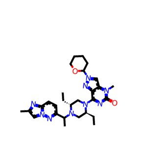 CC[C@H]1CN(C(C)c2ccc3nc(C)cn3n2)[C@H](CC)CN1c1nc(=O)n(C)c2cn(C3CCCCO3)nc12